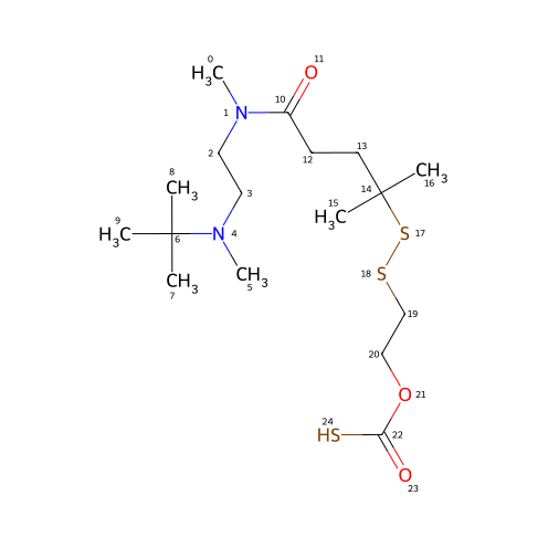 CN(CCN(C)C(C)(C)C)C(=O)CCC(C)(C)SSCCOC(=O)S